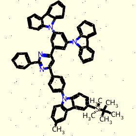 Cc1ccc2c(c1)c1cc([Si](C)(C)C(C)(C)C)ccc1n2-c1ccc(-c2cc(-c3cc(-n4c5ccccc5c5ccccc54)cc(-n4c5ccccc5c5ccccc54)c3)nc(-c3ccccc3)n2)cc1